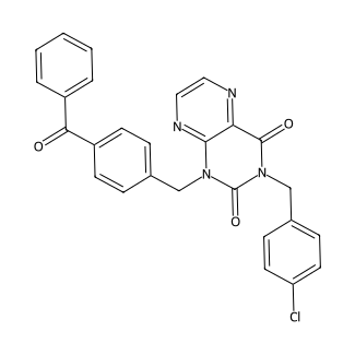 O=C(c1ccccc1)c1ccc(Cn2c(=O)n(Cc3ccc(Cl)cc3)c(=O)c3nccnc32)cc1